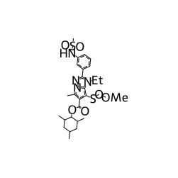 CCn1c(-c2cccc(NS(C)(=O)=O)c2)nn2c(C)c(C(=O)OC3C(C)CC(C)CC3C)c(SOOC)c12